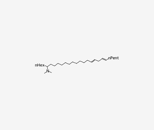 CCCCCC=CCC=CCCCCCCCCCCCC(CCCCCC)N(C)C